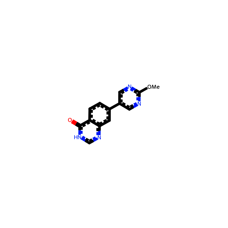 COc1ncc(-c2ccc3c(=O)[nH]cnc3c2)cn1